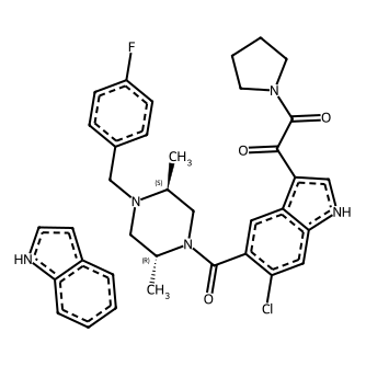 C[C@@H]1CN(Cc2ccc(F)cc2)[C@@H](C)CN1C(=O)c1cc2c(C(=O)C(=O)N3CCCC3)c[nH]c2cc1Cl.c1ccc2[nH]ccc2c1